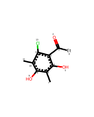 CCC(=O)c1c(O)c(C)c(O)c(C)c1Cl